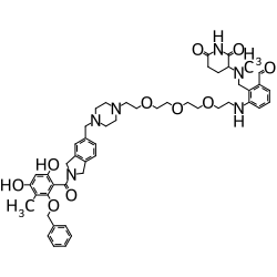 Cc1c(O)cc(O)c(C(=O)N2Cc3ccc(CN4CCN(CCOCCOCCOCCNc5cccc(C=O)c5CN(C)C5CCC(=O)NC5=O)CC4)cc3C2)c1OCc1ccccc1